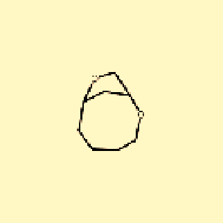 C1CCC2CC(CO2)OC1